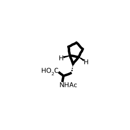 CC(=O)NC(C[C@@H]1[C@@H]2CCC[C@@H]21)C(=O)O